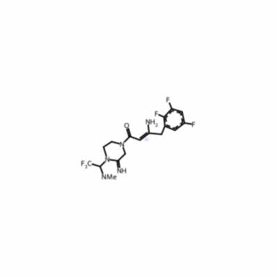 CNC(N1CCN(C(=O)/C=C(\N)Cc2cc(F)cc(F)c2F)CC1=N)C(F)(F)F